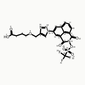 O=C(O)CCCOCc1cn(-c2cc3c4c(cccc4c2)C(=O)N(OS(=O)(=O)C(F)(F)F)C3=O)nn1